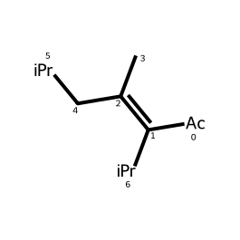 CC(=O)/C(=C(\C)CC(C)C)C(C)C